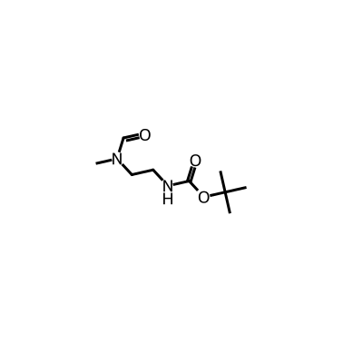 CN(C=O)CCNC(=O)OC(C)(C)C